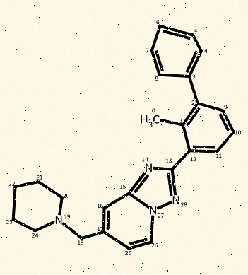 Cc1c(-c2ccccc2)cccc1-c1nc2cc(CN3CCCCC3)ccn2n1